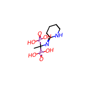 CC(N=C1CCCCN1)(P(=O)(O)O)P(=O)(O)O